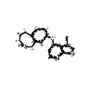 Cc1c[nH]c2nccc(Oc3ccc4c(c3)CNCCC4)c12